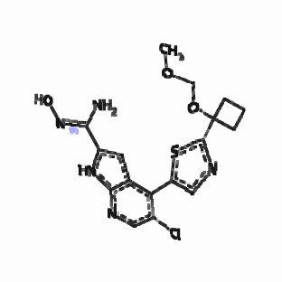 COCOC1(c2ncc(-c3c(Cl)cnc4[nH]c(/C(N)=N/O)cc34)s2)CCC1